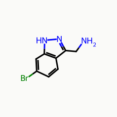 NCc1n[nH]c2cc(Br)ccc12